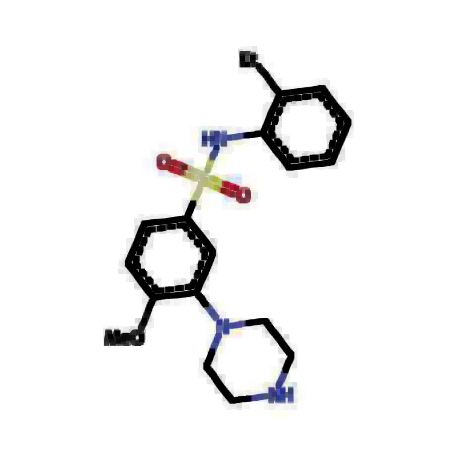 CCc1ccccc1NS(=O)(=O)c1ccc(OC)c(N2CCNCC2)c1